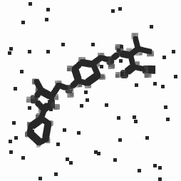 Cc1oc(-c2ccccc2)nc1COc1ccc(CON=C(C(=O)O)C(C)C)cc1